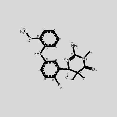 CN1C(=O)C(C)(C)[C@@](C)(c2cc([AsH]c3ccccc3OC(F)(F)F)ccc2F)N=C1N